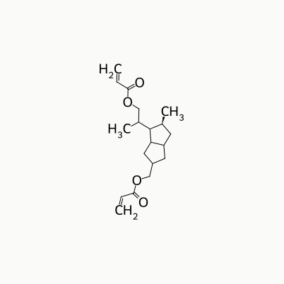 C=CC(=O)OCC1CC2C[C@H](C)C(C(C)COC(=O)C=C)C2C1